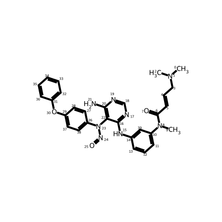 CN(C)C/C=C/C(=O)N(C)c1cccc(Nc2ncnc(N)c2N(N=O)c2ccc(Oc3ccccc3)cc2)c1